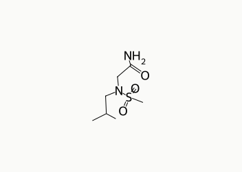 CC(C)CN(CC(N)=O)S(C)(=O)=O